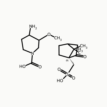 CC1(C)C2CC[C@]1(CS(=O)(=O)O)C(=O)C2.COC1CN(C(=O)O)CCC1N